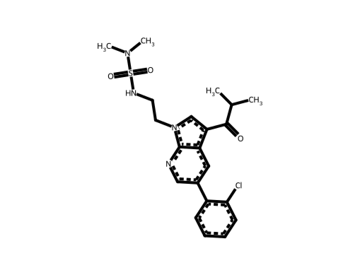 CC(C)C(=O)c1cn(CCNS(=O)(=O)N(C)C)c2ncc(-c3ccccc3Cl)cc12